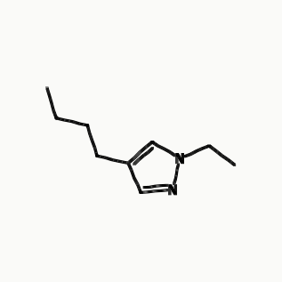 CCCCc1cnn(CC)c1